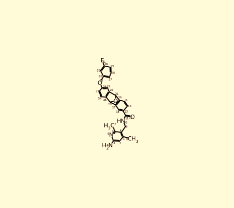 Cc1cc(N)nc(C)c1CNC(=O)c1ccc2c(c1)C1OC2c2cc(Oc3cccc(F)c3)ccc21